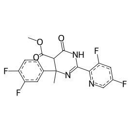 COC(=O)C1C(=O)NC(c2ncc(F)cc2F)=NC1(C)c1ccc(F)c(F)c1